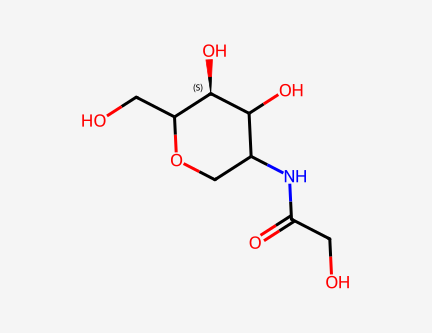 O=C(CO)NC1COC(CO)[C@@H](O)C1O